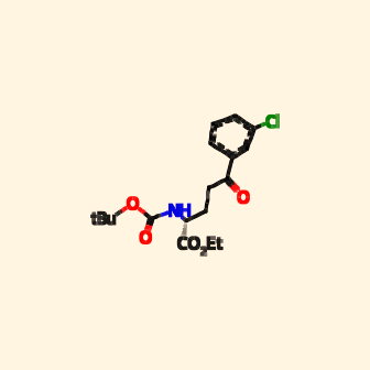 CCOC(=O)[C@@H](CCC(=O)c1cccc(Cl)c1)NC(=O)OC(C)(C)C